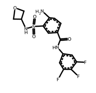 Nc1ccc(C(=O)Nc2cc(F)c(F)c(F)c2)cc1S(=O)(=O)NC1COC1